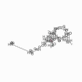 CCCC[C@H](NC(=O)[C@H](CN)NC(=O)[C@H](Cc1c[nH]cn1)NC(=O)[C@H](CCC(N)=O)NC(=O)[C@H](CO)NC(=O)CNC(=O)COCCOCCNC(=O)CCCS(=O)(=O)NC(=O)CCCCCCCCCCCCCCCc1nnn[nH]1)C(=O)N[C@H]1CCC(=O)NCCCC[C@@H](C(C)=O)NC(=O)[C@H](Cc2c[nH]c3ccccc23)NC(=O)[C@H](CCCNC(=N)N)NC(=O)[C@@H](Cc2ccccc2)NC(=O)[C@@H]2C[C@@H](O)CN2C1=O